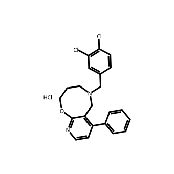 Cl.Clc1ccc(CN2CCCOc3nccc(-c4ccccc4)c3C2)cc1Cl